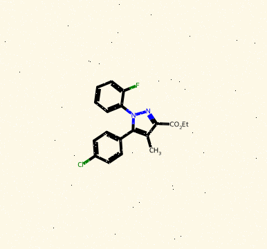 CCOC(=O)c1nn(-c2ccccc2F)c(-c2ccc(Cl)cc2)c1C